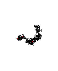 COc1cc2c(cc1OCCCCCOc1cc3c(cc1OC)C(=O)N1C=C(C)C[C@H]1[C@H](O)N3C(=O)OCc1ccc(NC(=O)[C@H](C)NC(=O)[C@@H](NC(=O)CCOCCNC(=O)CCN3C(=O)CC(C)C3=O)C(C)C)cc1)N=C[C@@H]1CC(C)=CN1C2=O